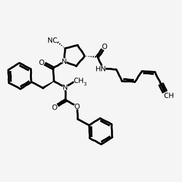 C#C/C=C\C=C/CNC(=O)[C@H]1C[C@@H](C#N)N(C(=O)[C@H](Cc2ccccc2)N(C)C(=O)OCc2ccccc2)C1